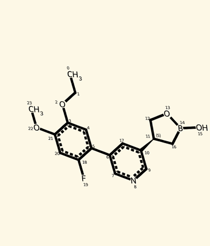 CCOc1cc(-c2cncc([C@H]3COB(O)C3)c2)c(F)cc1OC